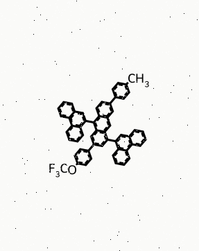 Cc1ccc(-c2ccc3c(-c4cc5ccccc5c5ccccc45)c4cc(-c5ccc(OC(F)(F)F)cc5)cc(-c5cc6ccccc6c6ccccc56)c4cc3c2)cc1